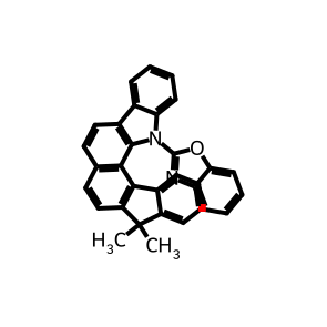 CC1(C)c2ccccc2-c2c1ccc1ccc3c4ccccc4n(-c4nc5ccccc5o4)c3c21